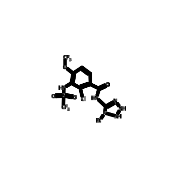 CCN1NNN=C1NC(=O)c1ccc(OC(F)(F)F)c(NS(=O)(=O)C(F)(F)F)c1Cl